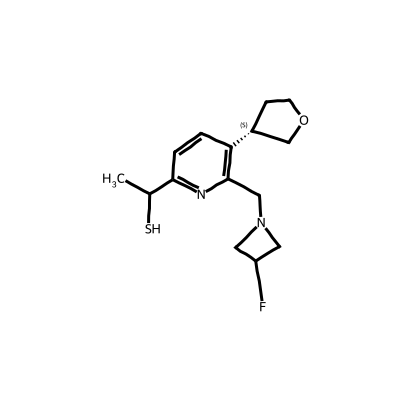 CC(S)c1ccc([C@@H]2CCOC2)c(CN2CC(F)C2)n1